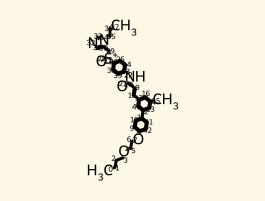 CCCCOCCOc1ccc(-c2cc(C)cc(/C=C/C(=O)Nc3ccc([S@@+]([O-])Cc4cncn4CCC)cc3)c2)cc1